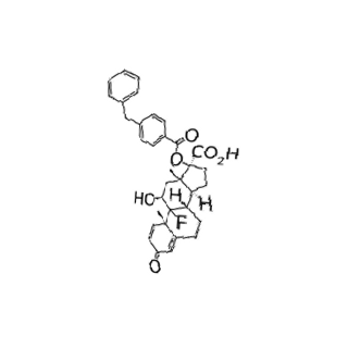 C[C@]12C=CC(=O)C=C1CC[C@H]1[C@@H]3CC[C@@](OC(=O)c4ccc(Cc5ccccc5)cc4)(C(=O)O)[C@@]3(C)C[C@H](O)C12F